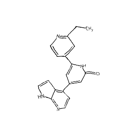 CCc1cc(-c2cc(-c3ccnc4[nH]ccc34)cc(=O)[nH]2)ccn1